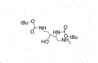 CC(C)(C)OC(=O)NCCC(O)C(CN)NC(=O)OC(C)(C)C